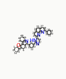 C1=Cc2oc3c(ccc4c(-c5cccc(C6=NC=CC(c7ccc8ccc9ccc(-c%10ccccc%10)nc9c8n7)N6)c5)nc5c(c43)CCC=C5)c2CC1